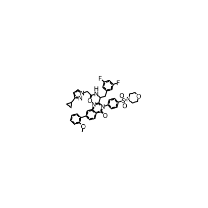 COc1ccccc1-c1ccc2c(=O)n(-c3ccc(S(=O)(=O)N4CCOCC4)cc3)c(C(Cc3cc(F)cc(F)c3)NC(=O)Cn3ccc(C4CC4)n3)nc2c1